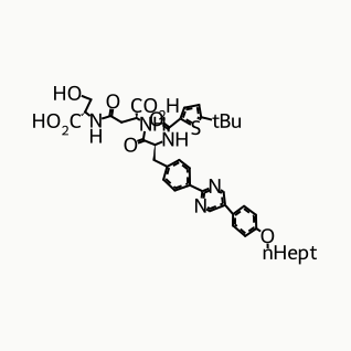 CCCCCCCOc1ccc(-c2cnc(-c3ccc(C[C@H](NC(=O)c4ccc(C(C)(C)C)s4)C(=O)N[C@@H](CC(=O)N[C@@H](CO)C(=O)O)C(=O)O)cc3)nc2)cc1